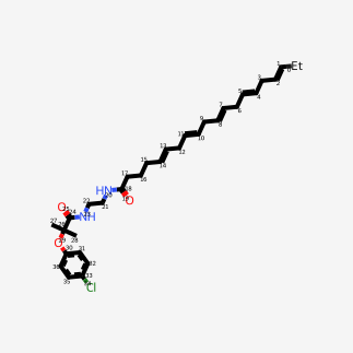 CCC=CCC=CCC=CCC=CCC=CCCCC(=O)NCCNC(=O)C(C)(C)Oc1ccc(Cl)cc1